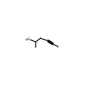 [CH2]C#CCC(C)CCC